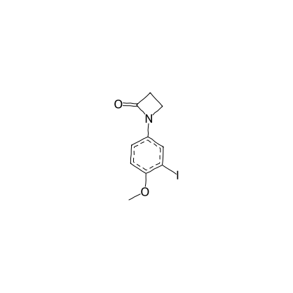 COc1ccc(N2CCC2=O)cc1I